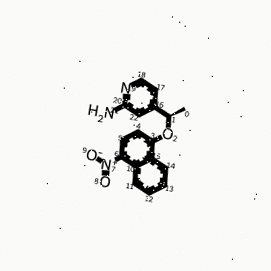 C[C@@H](Oc1ccc([N+](=O)[O-])c2ccccc12)c1ccnc(N)c1